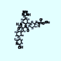 Cc1nc(O)ccc1-c1cccc(C[C@@H](C(N)=O)N(c2ccc(-c3nnn[nH]3)cc2)C(=O)[C@H]2CC[C@H](CNC(=O)OC(C)(C)C)CC2)c1